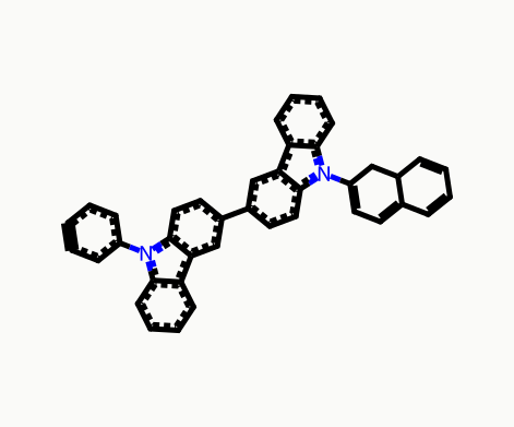 c1ccc(-n2c3ccccc3c3cc(-c4ccc5c(c4)c4ccccc4n5C4=CC=C5C=CC=CC5C4)ccc32)cc#1